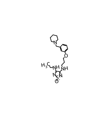 CCNc1n[s+]([O-])nc1NCCCOc1cccc(CN2CCCCC2)c1